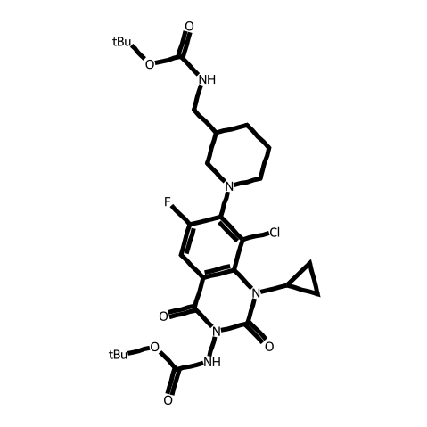 CC(C)(C)OC(=O)NCC1CCCN(c2c(F)cc3c(=O)n(NC(=O)OC(C)(C)C)c(=O)n(C4CC4)c3c2Cl)C1